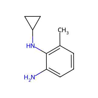 Cc1cccc(N)c1NC1CC1